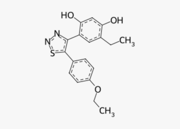 CCOc1ccc(-c2snnc2-c2cc(CC)c(O)cc2O)cc1